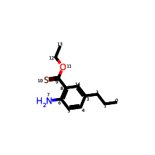 CCCc1ccc(N)c(C(=S)OCC)c1